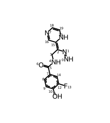 N=N/C(CNC(=O)c1ccc(O)c(F)c1)=C1/C=NC=CN1